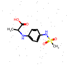 CC(Nc1ccc(NS(C)(=O)=O)cc1)C(=O)O